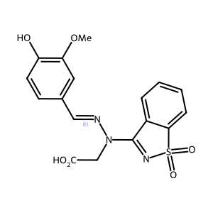 COc1cc(/C=N/N(CC(=O)O)C2=NS(=O)(=O)c3ccccc32)ccc1O